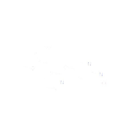 COc1ccccc1-c1cccnc1Oc1ccc(N=O)nc1